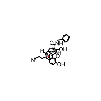 N#CCCN1CCC23c4c5ccc(O)c4O[C@H]2C2(O)C4=CC3(C[C@]42C(=O)NCc2ccccc2)[C@H]1C5